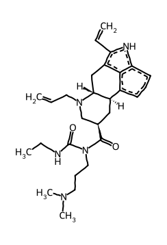 C=CCN1C[C@H](C(=O)N(CCCN(C)C)C(=O)NCC)C[C@@H]2c3cccc4[nH]c(C=C)c(c34)C[C@H]21